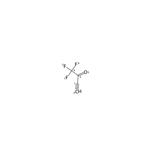 C#CC(=O)C(F)(F)F